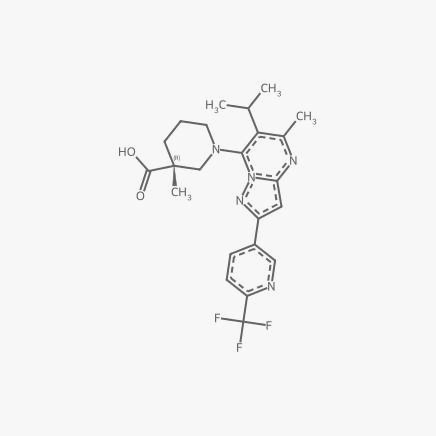 Cc1nc2cc(-c3ccc(C(F)(F)F)nc3)nn2c(N2CCC[C@@](C)(C(=O)O)C2)c1C(C)C